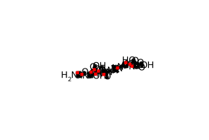 COc1cc(N=Nc2c(S(=O)(=O)O)cc3cc(NC(=O)c4ccc(N)cc4)ccc3c2O)c(OC)cc1N=Nc1cc(C)c(N=Nc2ccc(N=Nc3ccc(S(=O)(=O)O)cc3S(=O)(=O)O)c(C)c2)cc1C